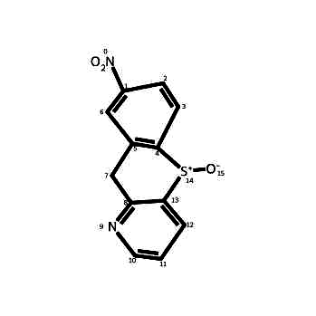 O=[N+]([O-])c1ccc2c(c1)Cc1ncccc1[S+]2[O-]